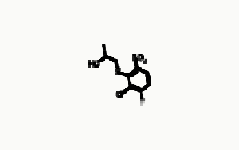 C[C@H](O)CSc1c([N+](=O)[O-])ccc(F)c1Cl